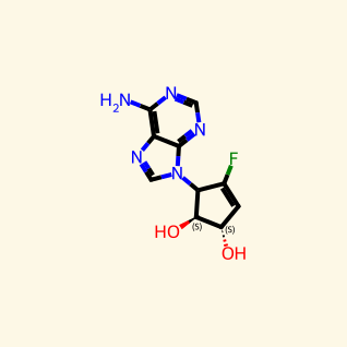 Nc1ncnc2c1ncn2C1C(F)=C[C@H](O)[C@H]1O